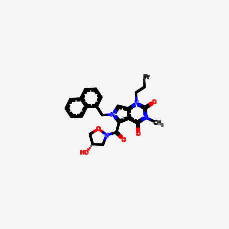 CC(C)CCn1c(=O)n(C)c(=O)c2c(C(=O)N3C[C@H](O)CO3)n(Cc3cccc4ccccc34)cc21